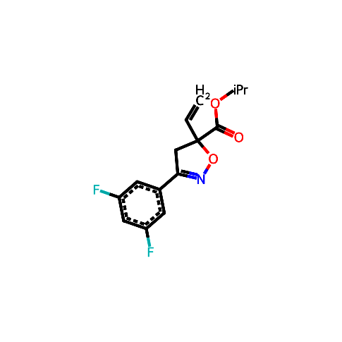 C=CC1(C(=O)OC(C)C)CC(c2cc(F)cc(F)c2)=NO1